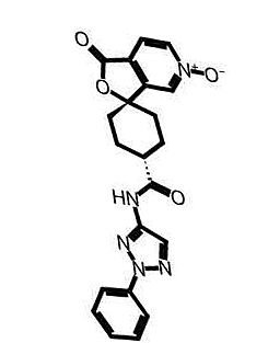 O=C1O[C@]2(CC[C@@H](C(=O)Nc3cnn(-c4ccccc4)n3)CC2)c2c[n+]([O-])ccc21